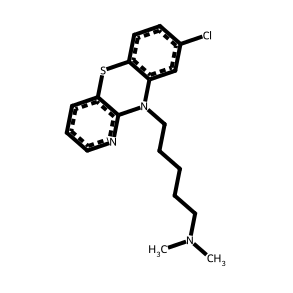 CN(C)CCCCCN1c2cc(Cl)ccc2Sc2cccnc21